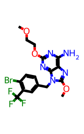 COCCOc1nc(N)c2nc(OC)n(Cc3ccc(Br)c(C(F)(F)F)c3)c2n1